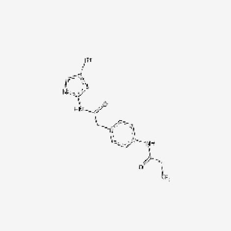 CC(C)c1cnc(NC(=O)Cc2ccc(NC(=O)CC(F)(F)F)cc2)s1